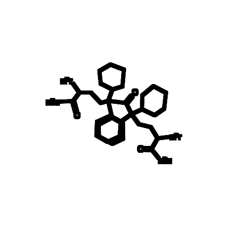 CCCCC(=O)C(CCC)CCC(C(=O)C(CCC(CCC)C(=O)CCCC)(C1CCCCC1)C1CCCCC1)(C1CCCCC1)C1CCCCC1